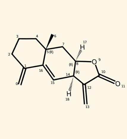 C=C1CCC[C@]2(C)C[C@H]3OC(=O)C(=C)[C@H]3C=C12